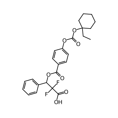 CCC1(OC(=O)Oc2ccc(C(=O)OC(c3ccccc3)C(F)(F)C(=O)O)cc2)CCCCC1